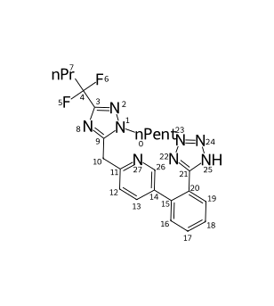 CCCCCn1nc(C(F)(F)CCC)nc1Cc1ccc(-c2ccccc2-c2nnn[nH]2)cn1